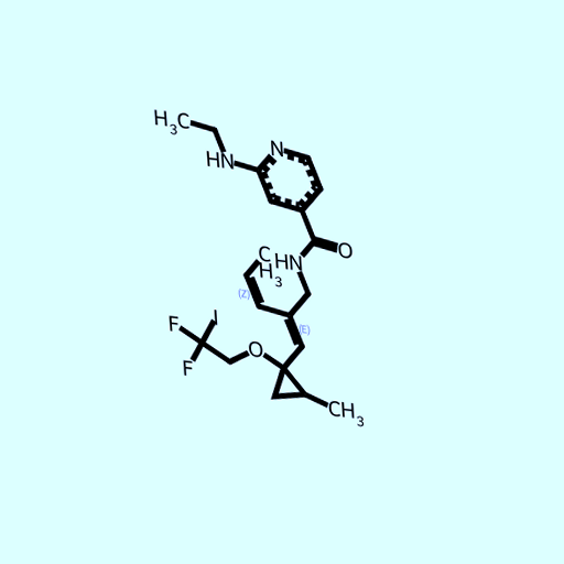 C/C=C\C(=C/C1(OCC(F)(F)I)CC1C)CNC(=O)c1ccnc(NCC)c1